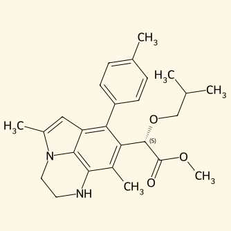 COC(=O)[C@@H](OCC(C)C)c1c(C)c2c3c(cc(C)n3CCN2)c1-c1ccc(C)cc1